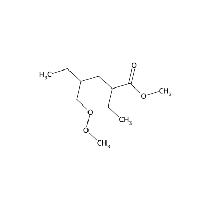 CCC(COOC)CC(CC)C(=O)OC